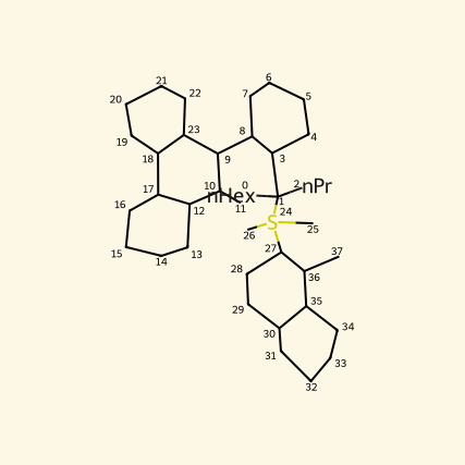 CCCCCCC(CCC)(C1CCCCC1C1C(C)C2CCCCC2C2CCCCC21)S(C)(C)C1CCC2CCCCC2C1C